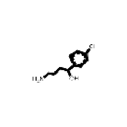 NCCCC(O)c1ccc(Cl)cc1